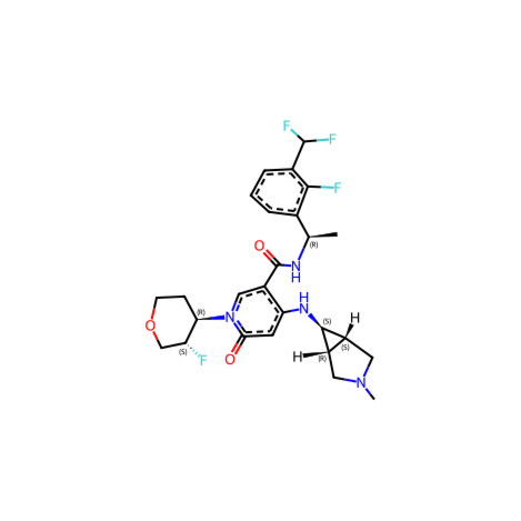 C[C@@H](NC(=O)c1cn([C@@H]2CCOC[C@H]2F)c(=O)cc1N[C@H]1[C@@H]2CN(C)C[C@@H]21)c1cccc(C(F)F)c1F